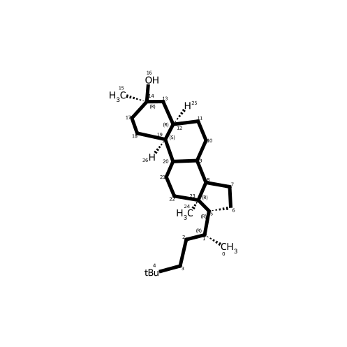 C[C@H](CCC(C)(C)C)[C@H]1CCC2C3CC[C@@H]4C[C@](C)(O)CC[C@@H]4C3CC[C@@]21C